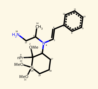 CCCC1(OC)C(N(C=Cc2ccccc2)C(C)CN)CCC[Si]1(OC)OC